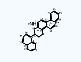 N.c1ccc2c(C3CCc4c(ccc5c4ccc4ccccc45)C3)cccc2c1